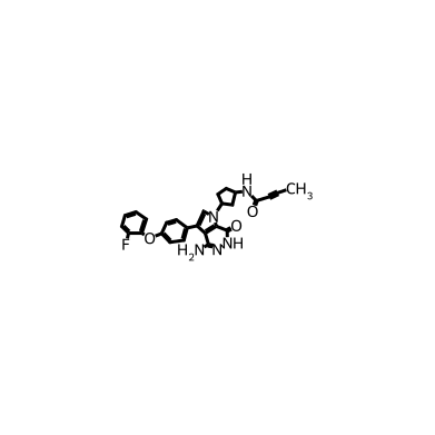 CC#CC(=O)NC1CCC(n2cc(-c3ccc(Oc4ccccc4F)cc3)c3c(N)n[nH]c(=O)c32)C1